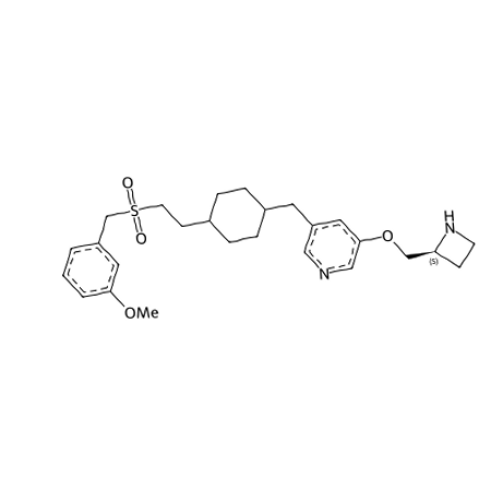 COc1cccc(CS(=O)(=O)CCC2CCC(Cc3cncc(OC[C@@H]4CCN4)c3)CC2)c1